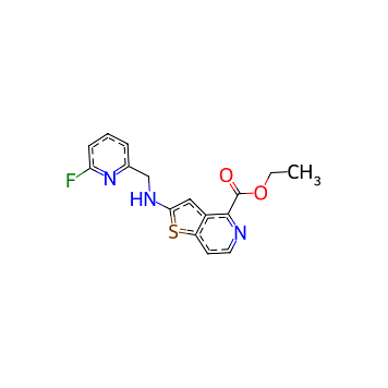 CCOC(=O)c1nccc2sc(NCc3cccc(F)n3)cc12